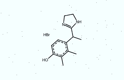 Br.Cc1c(O)ccc(C(C)C2=NCCN2)c1C